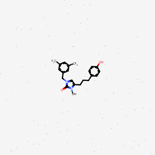 CCCn1c(CCCc2ccc(O)cc2)cn(Cc2cc(C(F)(F)F)cc(C(F)(F)F)c2)c1=O